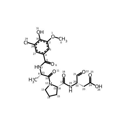 COc1cc(C(=O)N[C@@H](C)C(=O)N2CCC[C@H]2C(=O)N[C@H](C=O)CC(=O)O)cc(Cl)c1O